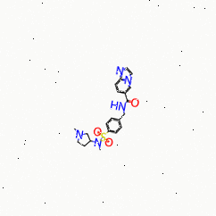 CN1CCC(N(C)S(=O)(=O)c2ccc(CNC(=O)c3ccc4nccn4c3)cc2)C1